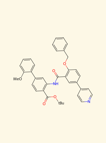 COc1ccccc1-c1ccc(C(=O)OC(C)(C)C)c(NC(=O)c2cc(-c3ccncc3)ccc2OCc2ccccc2)c1